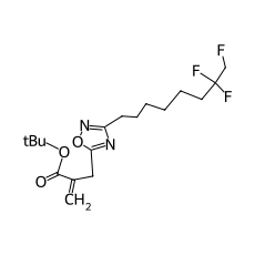 C=C(Cc1nc(CCCCCCC(F)(F)CF)no1)C(=O)OC(C)(C)C